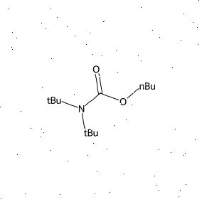 CCCCOC(=O)N(C(C)(C)C)C(C)(C)C